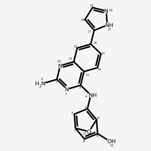 Nc1nc(Nc2cc3cc(O)c2o3)c2ccc(-c3ccn[nH]3)cc2n1